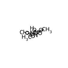 CCOC(=O)Cn1cnc2c(c1=O)N[C@H](c1ccc(Cl)cc1)[C@H](C)O2